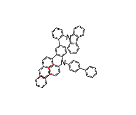 c1ccc(-c2ccc(N(c3ccc(-c4ccccc4)cc3)c3ccc(-c4ccccc4-n4c5ccccc5c5ccccc54)cc3-c3ccc4ccccc4c3)cc2)cc1